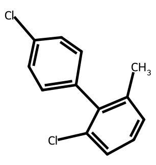 Cc1cccc(Cl)c1-c1ccc(Cl)cc1